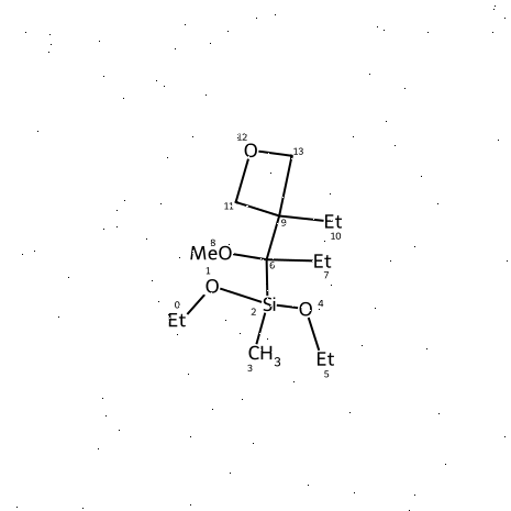 CCO[Si](C)(OCC)C(CC)(OC)C1(CC)COC1